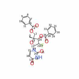 C[C@]1(COC(=O)c2ccccc2)O[C@@H](n2ccc(=O)[nH]c2=O)[C@H](F)[C@@H]1OC(=O)c1ccccc1